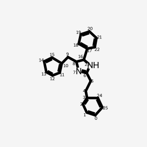 c1ccc(CCC2=NC(Cc3ccccc3)C(c3ccccc3)N2)cc1